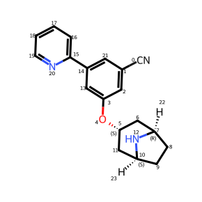 N#Cc1cc(O[C@@H]2C[C@H]3CC[C@@H](C2)N3)cc(-c2ccccn2)c1